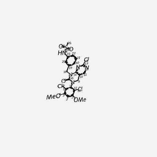 COc1cc(OC)c(Cl)c(N2Cc3cnc(Cl)nc3N(Cc3cccc(NS(C)(=O)=O)c3)C2=O)c1Cl